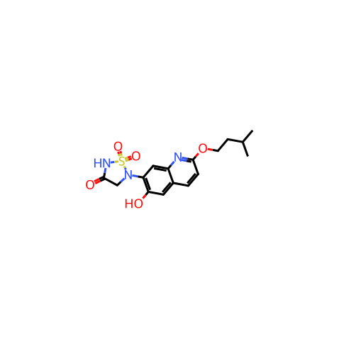 CC(C)CCOc1ccc2cc(O)c(N3CC(=O)NS3(=O)=O)cc2n1